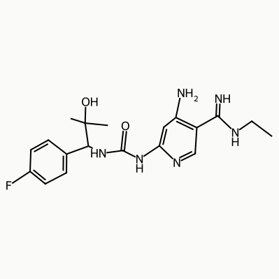 CCNC(=N)c1cnc(NC(=O)NC(c2ccc(F)cc2)C(C)(C)O)cc1N